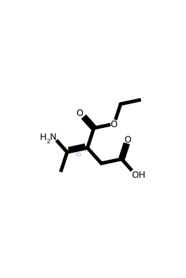 CCOC(=O)/C(CC(=O)O)=C(/C)N